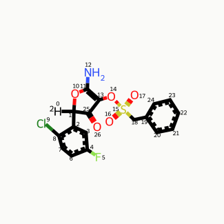 [2H]C1(c2cc(F)ccc2Cl)OC(N)=C(OS(=O)(=O)Cc2ccccc2)C1=O